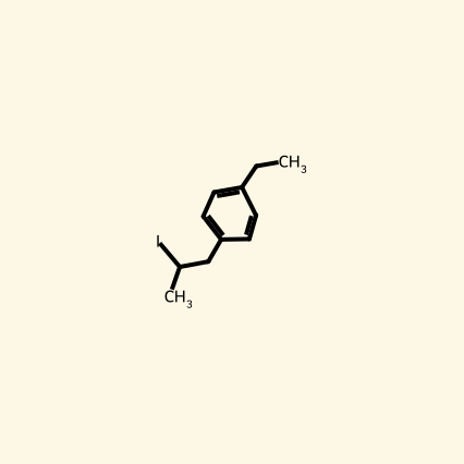 CCc1ccc(CC(C)I)cc1